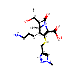 C[C@@H](O)[C@H]1C(=O)N2C(C(=O)O)=C(SCc3cn(C)nn3)[C@H](CCCN)[C@H]12